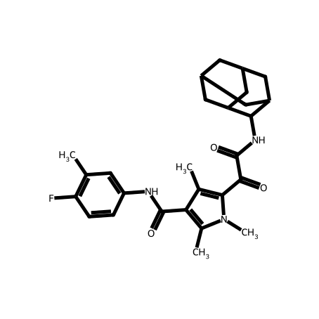 Cc1cc(NC(=O)c2c(C)c(C(=O)C(=O)NC3C4CC5CC(C4)CC3C5)n(C)c2C)ccc1F